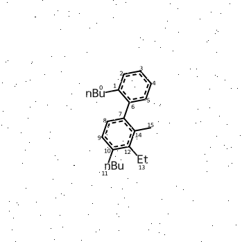 CCCCc1ccccc1-c1ccc(CCCC)c(CC)c1C